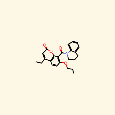 CCCOc1ccc2c(CC)cc(=O)oc2c1C(=O)N1CCCc2ccccc21